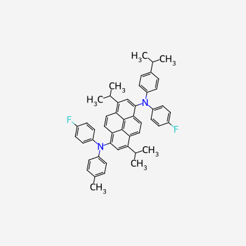 Cc1ccc(N(c2ccc(F)cc2)c2cc(C(C)C)c3ccc4c(N(c5ccc(F)cc5)c5ccc(C(C)C)cc5)cc(C(C)C)c5ccc2c3c54)cc1